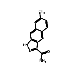 Cc1ccc2cc3c(C(N)=O)n[nH]c3cc2c1